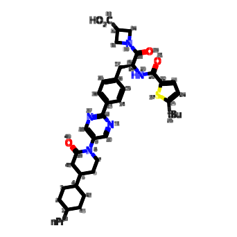 CCCC1CCC(C2CCN(c3cnc(-c4ccc(C[C@H](NC(=O)c5ccc(C(C)(C)C)s5)C(=O)N5CC(C(=O)O)C5)cc4)nc3)C(=O)C2)CC1